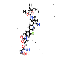 CC(C)(C)OC(=O)N1C[C@@H]2[C@H](C1)[C@@]2(C#N)c1ccc(-c2ccc(N3C[C@H](COC(=N)/C=C\O)OC3=O)cc2F)cn1